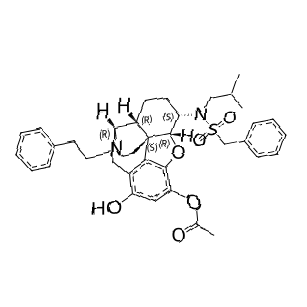 CC(=O)Oc1cc(O)c2c3c1O[C@H]1[C@@H](N(CC(C)C)S(=O)(=O)Cc4ccccc4)CC[C@H]4[C@@H](C2)N(CCc2ccccc2)CC[C@@]341